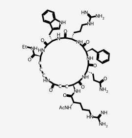 CCNC(=O)[C@@H]1CCCNC(=O)CC[C@H](NC(=O)[C@H](CCCNC(=N)N)NC(C)=O)C(=O)N[C@@H](CCC(N)=O)C(=O)N[C@H](Cc2ccccc2)C(=O)N[C@@H](CCCNC(=N)N)C(=O)N[C@@H](Cc2c[nH]c3ccccc23)C(=O)N1